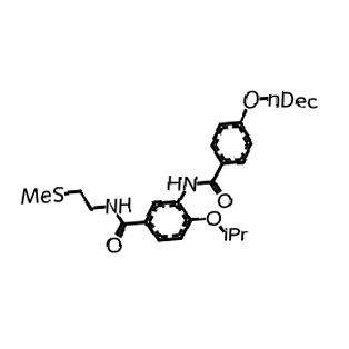 CCCCCCCCCCOc1ccc(C(=O)Nc2cc(C(=O)NCCSC)ccc2OC(C)C)cc1